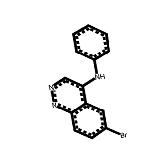 Brc1ccc2nncc(Nc3ccccc3)c2c1